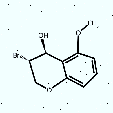 COc1cccc2c1[C@H](O)[C@@H](Br)CO2